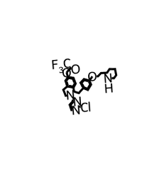 O=C(Oc1ccc2c(c1)CCN(c1ccnc(Cl)n1)C2Cc1ccc(OCCC2CCCCN2)cc1)C(F)(F)F